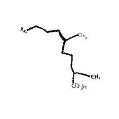 CC(=O)CCCC(C)CCCC(C)C(=O)O